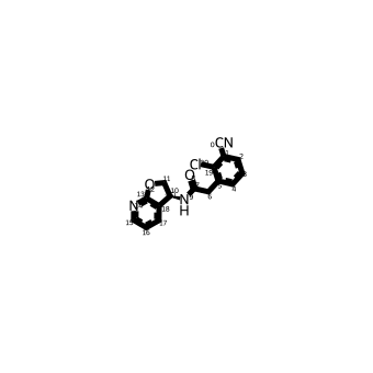 N#Cc1cccc(CC(=O)N[C@@H]2COc3ncccc32)c1Cl